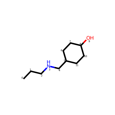 CCCNCC1CCC(O)CC1